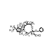 CO[C@]1(C)C[C@@H](C)CN(C)[C@H]([C@@H](CC=O)OCc2ccccc2)COC(=O)C(C)(C)C(=O)[C@H](C)[C@H]1O[C@@H]1O[C@H](C)C[C@H](N(C)C)[C@H]1C(=O)O